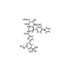 CCCCCC(C(=O)NCNC(=O)c1ccc(-c2cc(OCC)cc(P(=O)(O)O)c2)o1)[C@@H](CC)N(C=O)OC(=O)c1ccc(-n2cccc2)cc1